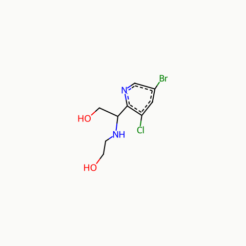 OCCNC(CO)c1ncc(Br)cc1Cl